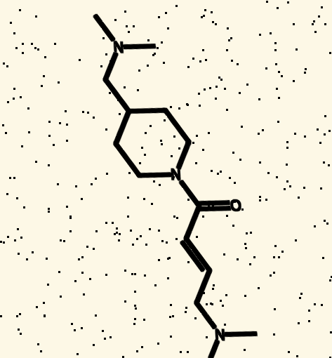 CN(C)C/C=C/C(=O)N1CCC(CN(C)C)CC1